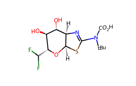 CC(C)(C)N(C(=O)O)C1=N[C@@H]2[C@@H](O)[C@H](O)[C@@H](C(F)F)O[C@@H]2S1